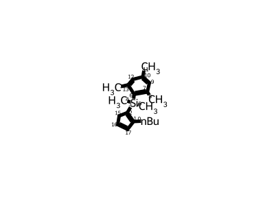 CCCCC1=C([Si](C)(C)c2c(C)cc(C)cc2C)CC=C1